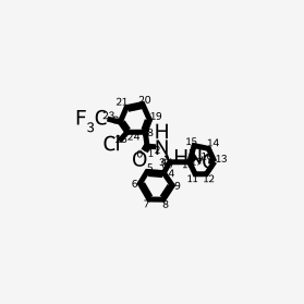 O=C(N[C@H](c1ccccc1)C12CCC(CC1)CN2)c1cccc(C(F)(F)F)c1Cl